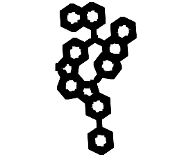 c1ccc(-c2ccc3c(c2)c2ccc4sc5ccc(N(c6cccc7ccccc67)c6cccc7ccccc67)cc5c4c2n3-c2ccccc2)cc1